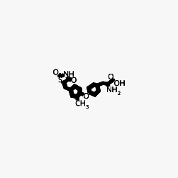 Cc1cc(C=C2SC(=O)NC2=O)ccc1Oc1ccc(CC(N)C(=O)O)cc1